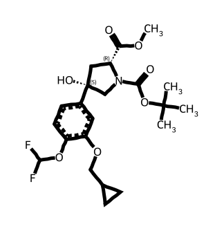 COC(=O)[C@H]1C[C@](O)(c2ccc(OC(F)F)c(OCC3CC3)c2)CN1C(=O)OC(C)(C)C